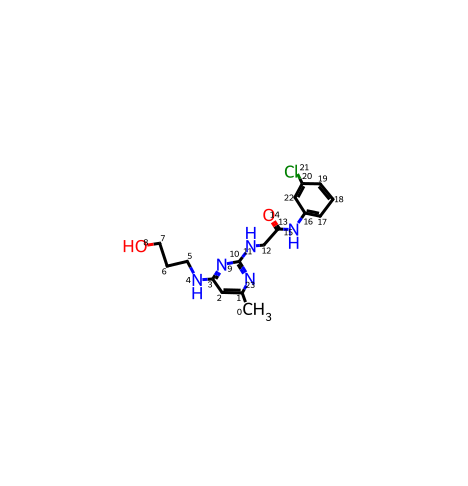 Cc1cc(NCCCO)nc(NCC(=O)Nc2cccc(Cl)c2)n1